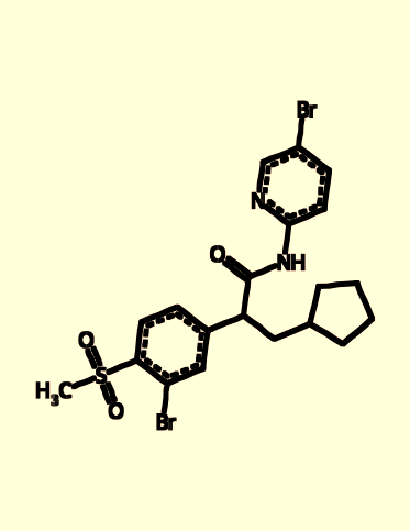 CS(=O)(=O)c1ccc(C(CC2CCCC2)C(=O)Nc2ccc(Br)cn2)cc1Br